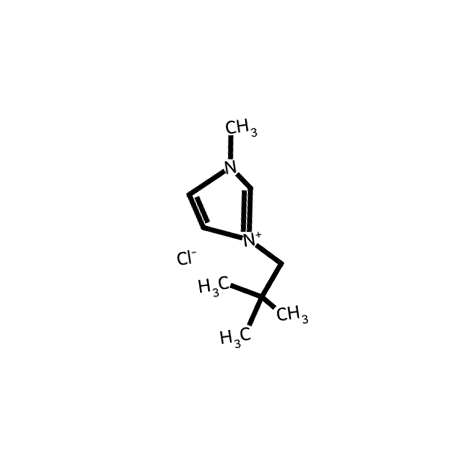 Cn1cc[n+](CC(C)(C)C)c1.[Cl-]